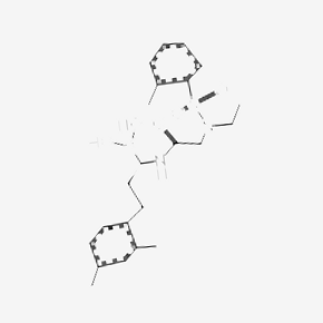 CCN(CC(=O)N[C@@H](CCc1ccc(C)cc1C)B(O)O)S(=O)(=O)c1ccccc1C